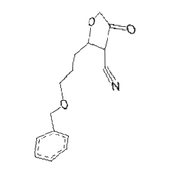 N#CC1C(=O)COC1CCCOCc1ccccc1